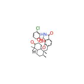 C[C@H]1CC[C@H]2C(C)(C)C(=O)[C@H](O)C[C@]23Oc2c(ccc4c2[C@H](C2(O)C=C(Cl)C=CC2)NC4=O)C[C@]13C